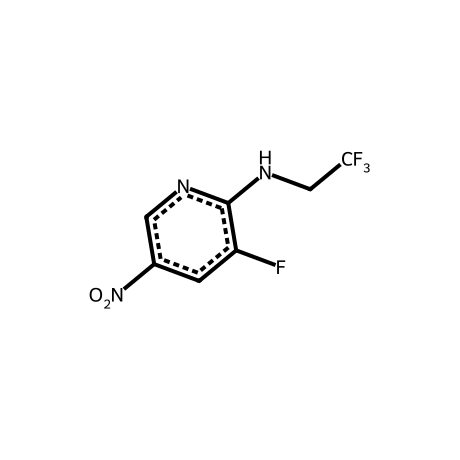 O=[N+]([O-])c1cnc(NCC(F)(F)F)c(F)c1